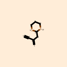 C#CC(=C)CC1SCCCS1